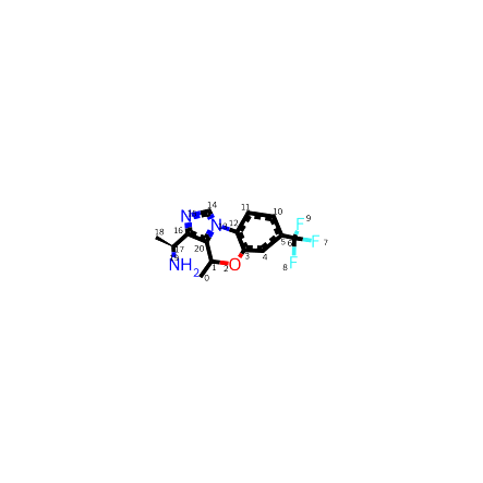 CC1Oc2cc(C(F)(F)F)ccc2-n2cnc([C@H](C)N)c21